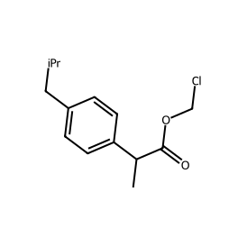 CC(C)Cc1ccc(C(C)C(=O)OCCl)cc1